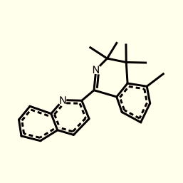 Cc1cccc2c1C(C)(C)C(C)(C)N=C2c1ccc2ccccc2n1